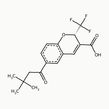 CC(C)(C)CC(=O)c1ccc2c(c1)C=C(C(=O)O)[C@@H](C(F)(F)F)O2